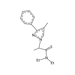 CCN(CC)C(=S)C(C)n1cc(C)c(-c2ccccc2)n1